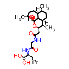 CC(C)C[C@H](NC(=O)CNC(=O)C[C@H]1O[C@@H]2O[C@@]3(C)CC[C@H]4[C@H](C)CC[C@@H]([C@H]1C)[C@@]24OO3)B(O)O